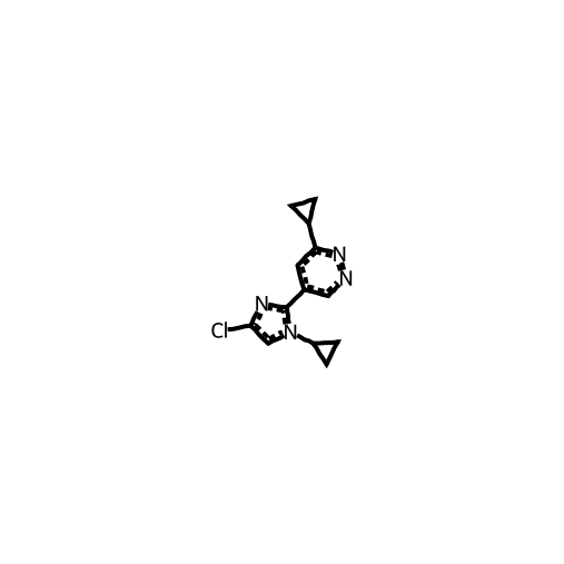 Clc1cn(C2CC2)c(-c2cnnc(C3CC3)c2)n1